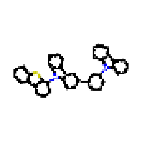 c1cc(-c2ccc3c(c2)c2ccccc2n3-c2cccc3c2sc2ccccc23)cc(-n2c3ccccc3c3ccccc32)c1